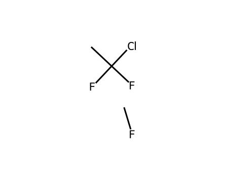 CC(F)(F)Cl.CF